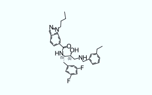 CCCCn1ncc2ccc(C(=O)N[C@@H](Cc3cc(F)cc(F)c3)[C@@H](O)CNCc3cccc(CC)c3)cc21